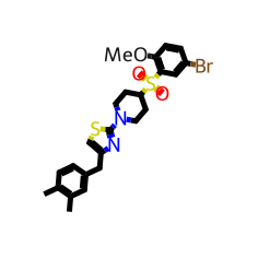 COc1ccc(Br)cc1S(=O)(=O)C1CCN(c2nc(Cc3ccc(C)c(C)c3)cs2)CC1